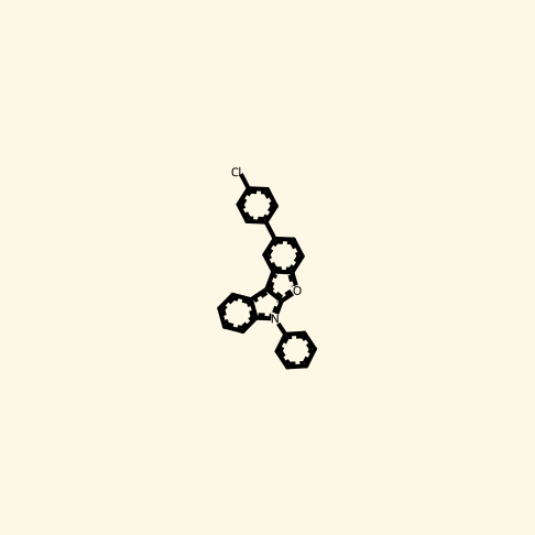 Clc1ccc(-c2ccc3oc4c(c3c2)c2ccccc2n4-c2ccccc2)cc1